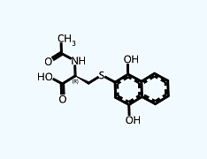 CC(=O)N[C@@H](CSc1cc(O)c2ccccc2c1O)C(=O)O